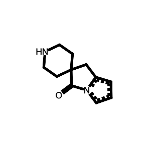 O=C1n2cccc2CC12CCNCC2